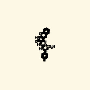 Cc1ccc([C@H](CC(=O)O)NC(=O)Nc2c(F)c(Cc3ccccc3Cl)c[nH]c2=O)cc1